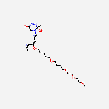 C\C=C/C(=C\C=C\N1CC(=O)N=NC1(C)O)OCCCCCOCCCCOCCOCCOC